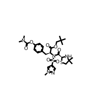 CN(C)C(=O)Oc1ccc(C[C@@H](C(=O)OCC(C)(C)C)N(C(=O)[C@H]2NC(C)(C)CS2)S(=O)(=O)c2cnn(C)c2)cc1